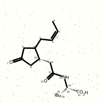 C/C=C\CC1CC(=O)C[C@H]1CC(=O)N[C@H](C(=O)O)[C@@H](C)CC